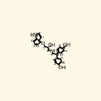 Oc1ccc(C(CNCC(O)COc2cccc3[nH]ccc23)c2ccc(O)cc2)cc1